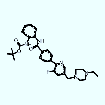 CCN1CCN(Cc2cnc(-c3ccc(C(=O)Nc4ccccc4NC(=O)OC(C)(C)C)cc3)c(F)c2)CC1